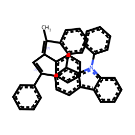 C/C1=C(c2ccccc2)\C=C(\c2ccccc2)c2ccc3c4ccccc4n(-c4ccccc4)c3c2-c2ccccc21